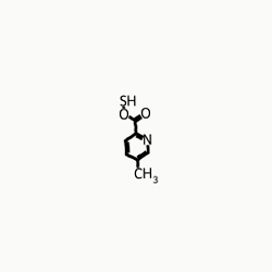 Cc1ccc(C(=O)OS)nc1